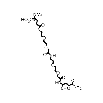 CN[C@@H](CCC(=O)NCCOCCOCC(=O)NCCOCCOCC(=O)NC(C=O)CCC(N)=O)C(=O)O